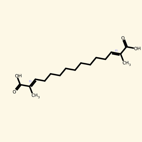 C/C(=C\CCCCCCCCC/C=C(\C)C(=O)O)C(=O)O